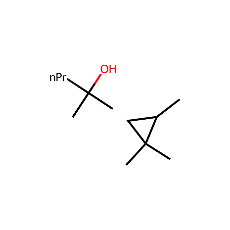 CC1CC1(C)C.CCCC(C)(C)O